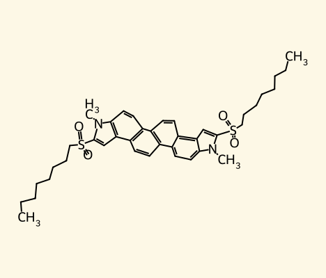 CCCCCCCCS(=O)(=O)c1cc2c3ccc4c(ccc5c4ccc4c5cc(S(=O)(=O)CCCCCCCC)n4C)c3ccc2n1C